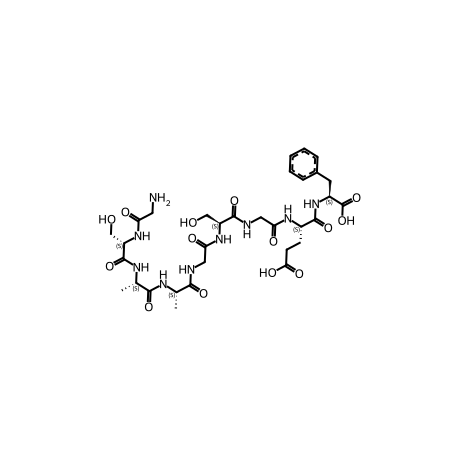 C[C@H](NC(=O)[C@H](C)NC(=O)[C@H](CO)NC(=O)CN)C(=O)NCC(=O)N[C@@H](CO)C(=O)NCC(=O)N[C@@H](CCC(=O)O)C(=O)N[C@@H](Cc1ccccc1)C(=O)O